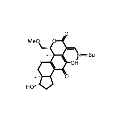 CCCCN(C)/C=C1/C(=O)O[C@H](COC)[C@]2(C)C3=C(C(=O)C(O)=C12)C1CC[C@H](O)[C@@]1(C)C[C]3